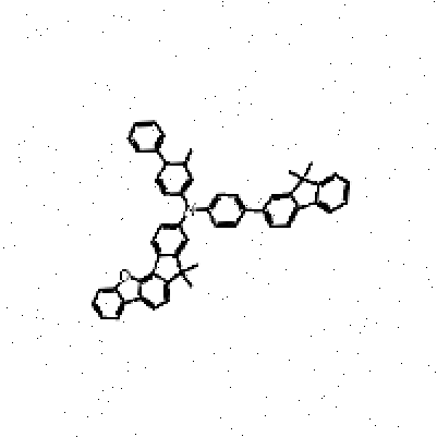 CC1C=C(N(c2ccc(-c3ccc4c(c3)C(C)(C)c3ccccc3-4)cc2)c2ccc3c(c2)C(C)(C)c2ccc4c(oc5ccccc54)c2-3)C=CC1c1ccccc1